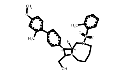 COc1ccc(-c2ccc([C@@H]3C(CO)N4CCCCN(S(=O)(=O)c5ccccc5C)C[C@@H]34)cc2)c(C)c1